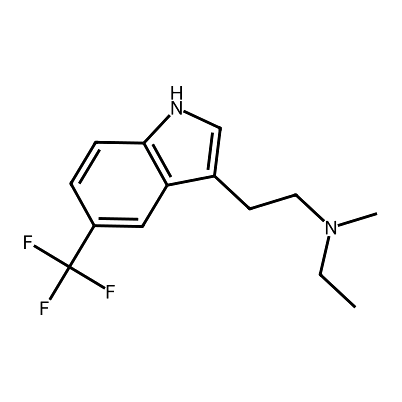 CCN(C)CCc1c[nH]c2ccc(C(F)(F)F)cc12